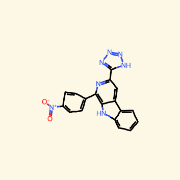 O=[N+]([O-])c1ccc(-c2nc(-c3nnn[nH]3)cc3c2[nH]c2ccccc23)cc1